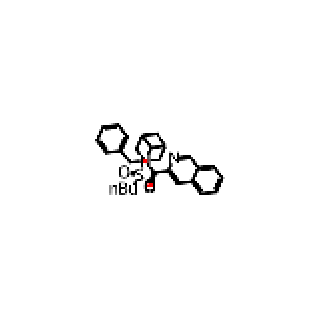 CCCCS(=O)(=O)N1CC2CC(C1)C2N(Cc1ccccc1)C(=O)c1cc2ccccc2cn1